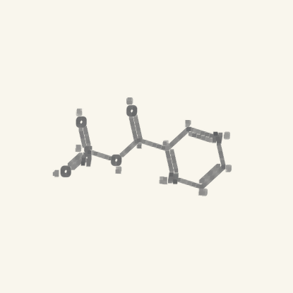 O=C(O[SH](=O)=O)c1cnccn1